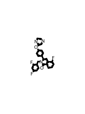 O=c1c2cccc(F)c2cc(-c2ccc(Oc3cnccn3)cc2)n1Cc1ccc(F)cc1F